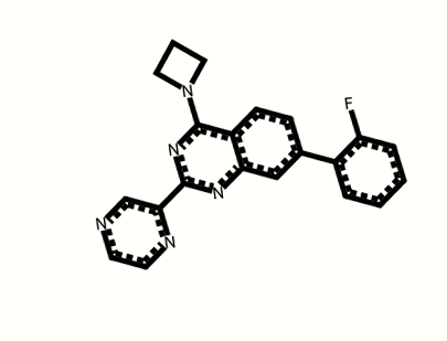 Fc1ccccc1-c1ccc2c(N3CCC3)nc(-c3cnccn3)nc2c1